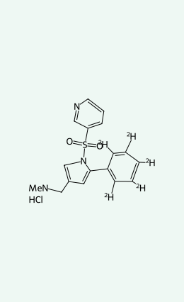 Cl.[2H]c1c([2H])c([2H])c(-c2cc(CNC)cn2S(=O)(=O)c2cccnc2)c([2H])c1[2H]